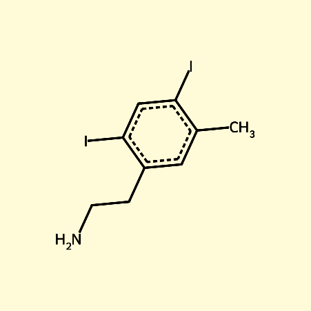 Cc1cc(CCN)c(I)cc1I